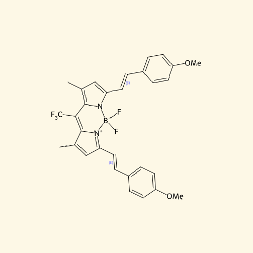 COc1ccc(/C=C/C2=[N+]3C(=C(C(F)(F)F)c4c(C)cc(/C=C/c5ccc(OC)cc5)n4[B-]3(F)F)C(C)=C2)cc1